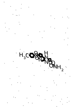 Cc1ccc(S(=O)(=O)n2ccc3c(N[C@H]4C[C@@H](OC(N)=O)C4)c([N+](=O)[O-])cnc32)cc1